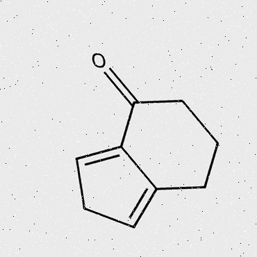 O=C1CCCC2=CCC=C12